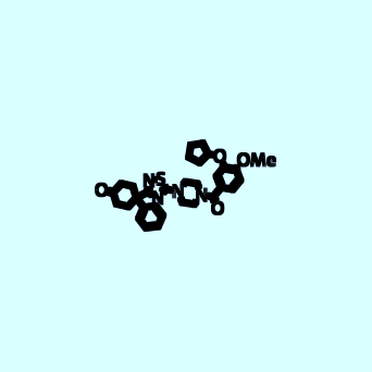 COc1ccc(C(=O)N2CCN(c3nc(C4(c5ccccc5)CCC(=O)CC4)ns3)CC2)cc1OC1CCCC1